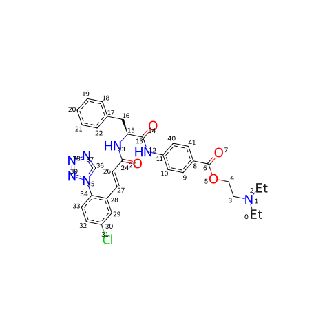 CCN(CC)CCOC(=O)c1ccc(NC(=O)[C@H](Cc2ccccc2)NC(=O)/C=C/c2cc(Cl)ccc2-n2cnnn2)cc1